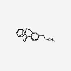 CCCc1ccc2c(c1)CCC1(CC3C=CC1C3)C2=O